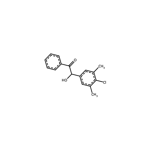 Cc1cc(C(O)C(=O)c2ccccc2)cc(C)c1Cl